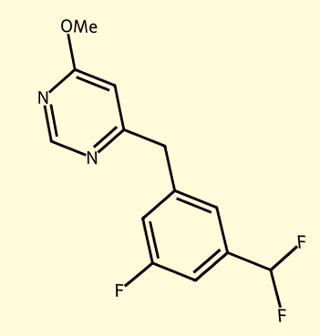 COc1cc(Cc2cc(F)cc(C(F)F)c2)ncn1